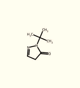 CC(C)(C)N1N=CCC1=O